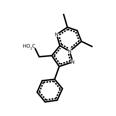 Cc1cc(C)n2nc(-c3ccccc3)c(CC(=O)O)c2n1